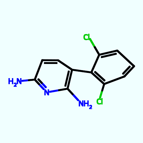 Nc1ccc(-c2c(Cl)cccc2Cl)c(N)n1